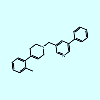 Cc1ccccc1C1=CCN(Cc2cncc(-c3ccccc3)c2)CC1